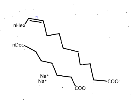 CCCCCC/C=C\CCCCCCCC(=O)[O-].CCCCCCCCCCCCCCCC(=O)[O-].[Na+].[Na+]